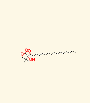 CCCCCCCCCCCCCCCC(=O)C1(O)C(=O)OCC1(C)C